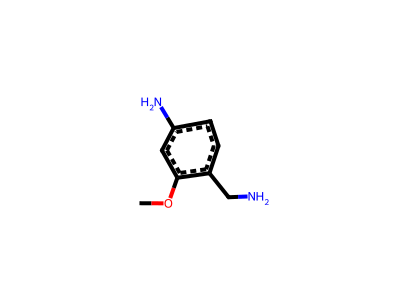 COc1cc(N)ccc1CN